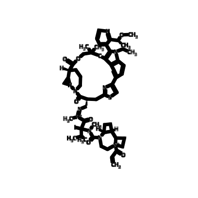 C=CC(=O)[N+]12CCC1[C@H]1CC[C@H]1N(C(=O)N(C)C(I)(C(=O)/[N+](C)=N\C[C@H]1Cc3nc(cs3)-c3ccc4c(c3)c(c(-c3cccnc3[C@H](C)OC)n4CC)CC(C)(C)COC(=O)[C@@H]3CCCN(C1=O)N1CC31)C(C)C)CC2